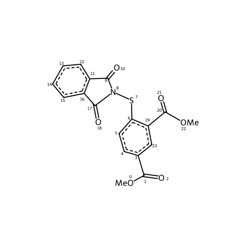 COC(=O)c1ccc(SN2C(=O)c3ccccc3C2=O)c(C(=O)OC)c1